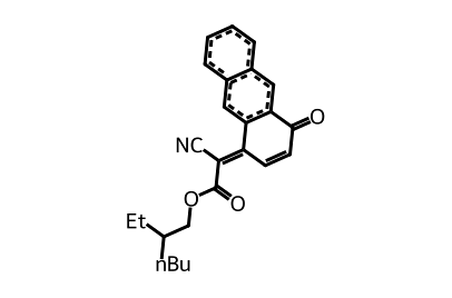 CCCCC(CC)COC(=O)/C(C#N)=C1\C=CC(=O)c2cc3ccccc3cc21